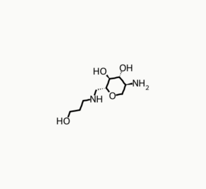 N[C@H]1CO[C@H](CNCCCO)[C@@H](O)[C@@H]1O